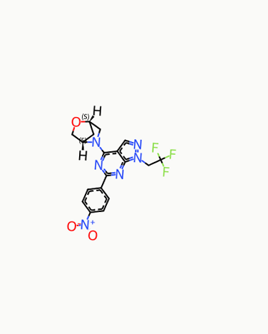 O=[N+]([O-])c1ccc(-c2nc(N3C[C@@H]4C[C@H]3CO4)c3cnn(CC(F)(F)F)c3n2)cc1